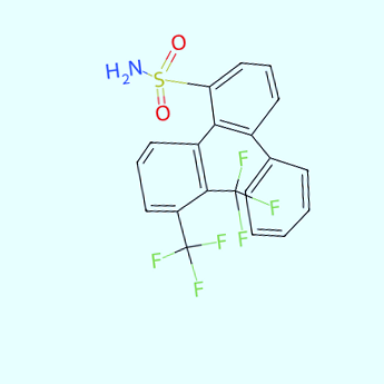 NS(=O)(=O)c1cccc(-c2ccccc2)c1-c1cccc(C(F)(F)F)c1C(F)(F)F